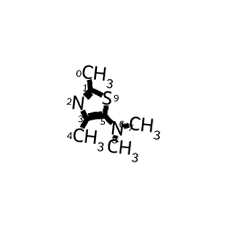 Cc1nc(C)c(N(C)C)s1